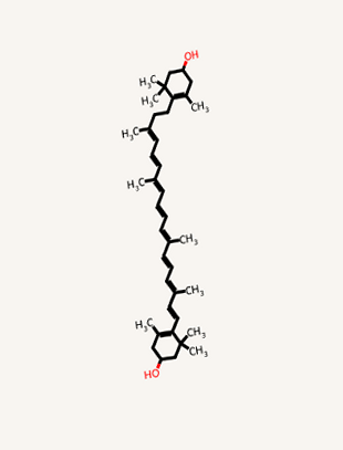 CC1=C(/C=C/C(C)=C/C=C/C(C)=C/C=C/C=C(C)/C=C/C=C(\C)CCC2=C(C)CC(O)CC2(C)C)C(C)(C)CC(O)C1